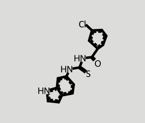 O=C(NC(=S)Nc1ccc2cc[nH]c2c1)c1cccc(Cl)c1